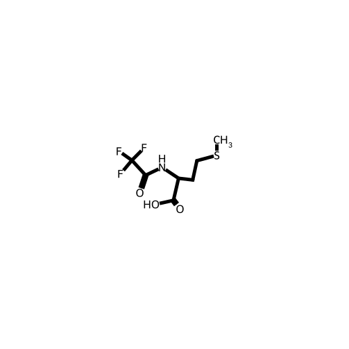 CSCCC(NC(=O)C(F)(F)F)C(=O)O